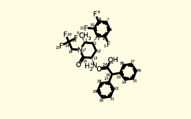 C[C@@H]1[C@H](c2c(F)ccc(F)c2F)C[C@H](N)C(=O)N1CC(F)(F)F.O=C(O)C(c1ccccc1)c1ccccc1